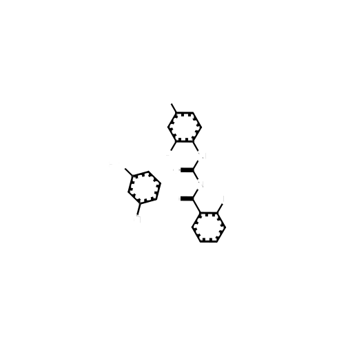 FC(F)(F)c1cccc(Cl)c1.O=C(NC(=O)c1ccccc1F)Nc1ccc(S)cc1F